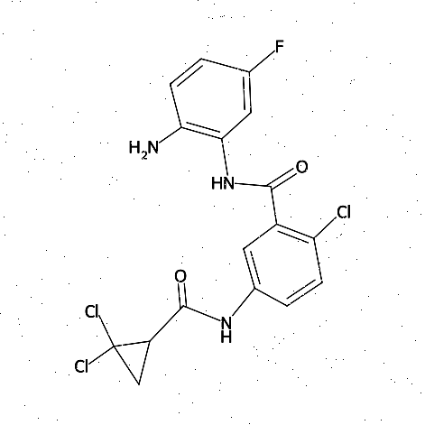 Nc1ccc(F)cc1NC(=O)c1cc(NC(=O)C2CC2(Cl)Cl)ccc1Cl